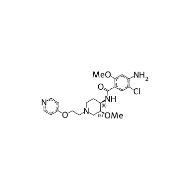 COc1cc(N)c(Cl)cc1C(=O)N[C@@H]1CCN(CCOc2ccncc2)C[C@@H]1OC